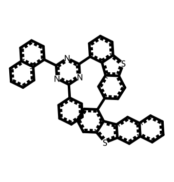 c1ccc(-c2nc(-c3cccc4ccccc34)nc(-c3cccc4sc5ccc(-c6cccc7sc8cc9ccccc9cc8c67)cc5c34)n2)cc1